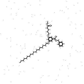 CCCCCCCCCCCCCCCCCCOc1cc(OCCCCC(=O)OC)cc(C(=O)OCc2ccccc2)c1